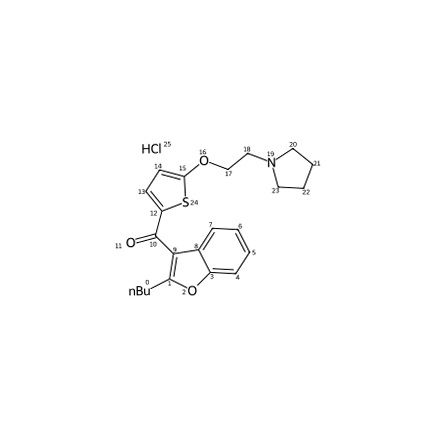 CCCCc1oc2ccccc2c1C(=O)c1ccc(OCCN2CCCC2)s1.Cl